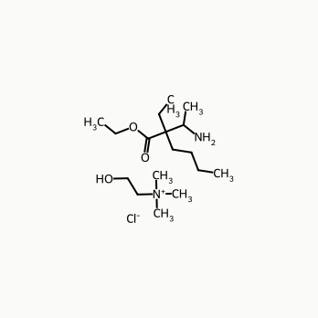 CCCCC(CC)(C(=O)OCC)C(C)N.C[N+](C)(C)CCO.[Cl-]